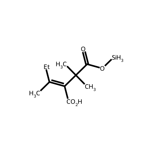 CCC(C)=C(C(=O)O)C(C)(C)C(=O)O[SiH3]